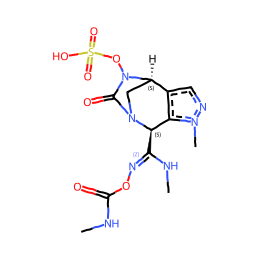 CNC(=O)O/N=C(\NC)[C@@H]1c2c(cnn2C)[C@H]2CN1C(=O)N2OS(=O)(=O)O